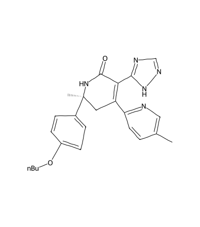 CCCCOc1ccc([C@]2(C)CC(c3ccc(C)cn3)=C(c3ncn[nH]3)C(=O)N2)cc1